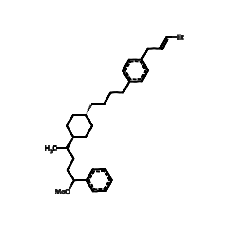 CC/C=C/Cc1ccc(CCCC[C@H]2CC[C@H](C(C)CCC(OC)c3ccccc3)CC2)cc1